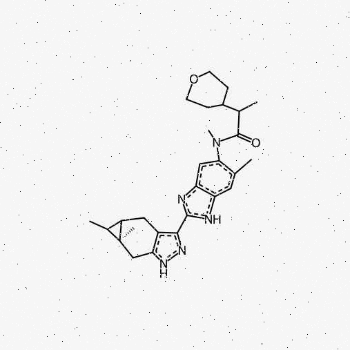 Cc1cc2[nH]c(-c3n[nH]c4c3CC3C(C)[C@]3(C)C4)nc2cc1N(C)C(=O)C(C)C1CCOCC1